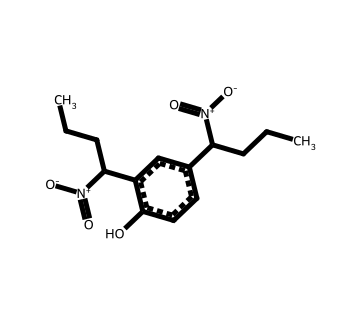 CCCC(c1ccc(O)c(C(CCC)[N+](=O)[O-])c1)[N+](=O)[O-]